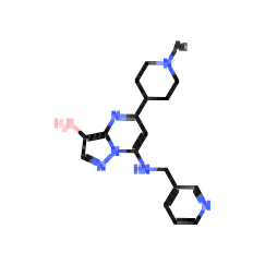 Bc1cnn2c(NCc3cccnc3)cc(C3CCN(C(C)=O)CC3)nc12